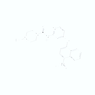 CN1CCN(C(=O)Nc2cc(Oc3ccc([N+](=O)[O-])c4ccccc34)ccn2)CC1